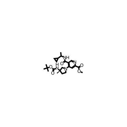 COC(=O)c1cc(N2CC[C@](C)(NC(=O)OC(C)(C)C)C2)c(C(=O)NC(C)C2CC2)cn1